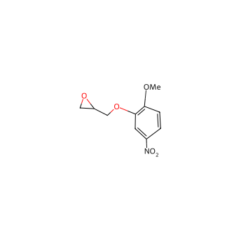 COc1ccc([N+](=O)[O-])cc1OCC1CO1